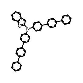 c1ccc(-c2ccc(-c3ccc(N(c4ccc(-c5ccc(-c6ccccc6)cc5)cc4)c4cc5ccccc5o4)cc3)cc2)cc1